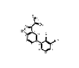 NC(=O)c1n[nH]c2ccc(-c3cccc(F)c3F)cc12